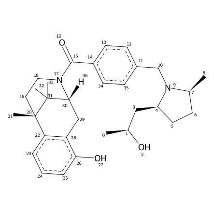 C[C@H](O)C[C@@H]1CC[C@H](C)N1Cc1ccc(C(=O)N2CC[C@@]3(C)c4cccc(O)c4C[C@@H]2C3(C)C)cc1